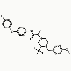 COc1ccc(CN2CCN(C(C)C(=O)Nc3ccc(Oc4ccc(F)cc4)cn3)C[C@@H]2C(F)(F)F)cn1